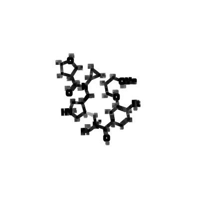 CCc1ccc(C(=O)N(C[C@@H]2CNC[C@H]2CN(C(=O)C2CCOC2)C2CC2)C(C)C)cc1OCCCOC